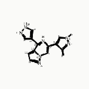 Cc1nn(C)cc1-c1cn2nccc2c(-c2cn[nH]c2)n1